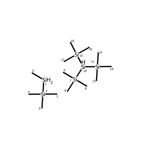 C[SiH2][Si](C)(C)C.C[Si](C)(C)[SiH]([Si](C)(C)C)[Si](C)(C)C